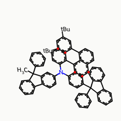 CC(C)(C)c1cc(-c2cccc3cccc(-c4ccccc4N(c4ccc(C5(c6ccccc6)c6ccccc6-c6ccccc65)cc4)c4ccc5c(c4)C(C)(c4ccccc4)c4ccccc4-5)c23)cc(C(C)(C)C)c1